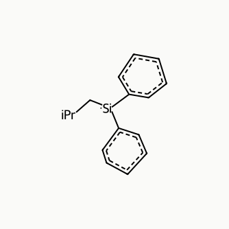 CC(C)C[Si](c1ccccc1)c1ccccc1